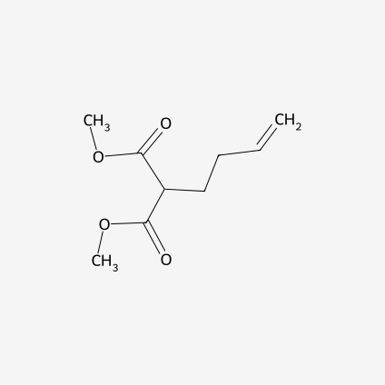 C=CCCC(C(=O)OC)C(=O)OC